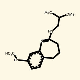 COC(CNC1=Nc2cc(NC(=O)O)ccc2CCC1)OC